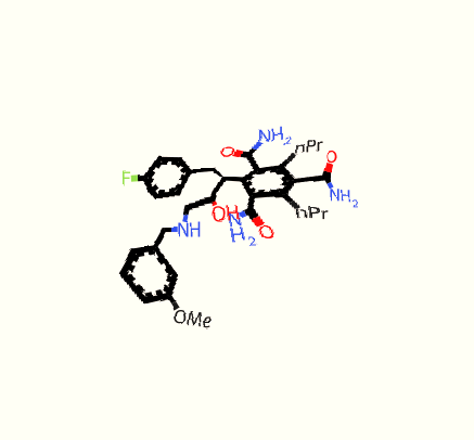 CCCc1c(C(N)=O)c(CCC)c(C(N)=O)c([C@H](Cc2ccc(F)cc2)[C@@H](O)CNCc2cccc(OC)c2)c1C(N)=O